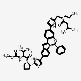 CCCN(Cc1ncc(-c2ccc3c(c2)O[C@@H](c2ccccc2)n2c-3cc3cc(-c4cnc([C@@H]5CCCN5C(=O)[C@@H](NC(=O)OC)C(C)C)[nH]4)ccc32)[nH]1)C(=O)CC(C)C